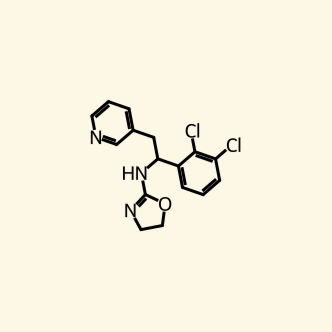 Clc1cccc(C(Cc2cccnc2)NC2=NCCO2)c1Cl